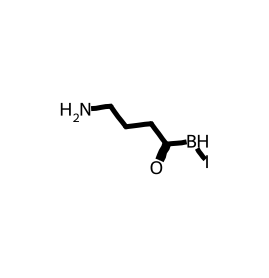 NCCCC(=O)BI